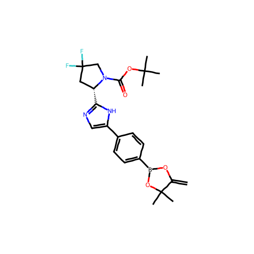 C=C1OB(c2ccc(-c3cnc([C@@H]4CC(F)(F)CN4C(=O)OC(C)(C)C)[nH]3)cc2)OC1(C)C